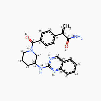 C=C(C(N)=O)c1ccc(C(=O)N2CCC[C@H](Nc3ncc4ccccc4n3)C2)cc1